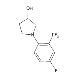 OC1CCN(c2ccc(F)cc2C(F)(F)F)C1